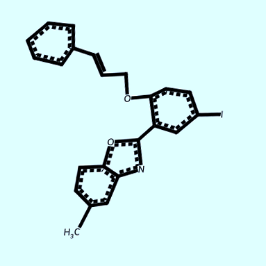 Cc1ccc2oc(-c3cc(I)ccc3OCC=Cc3ccccc3)nc2c1